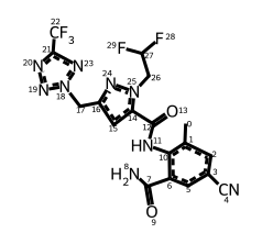 Cc1cc(C#N)cc(C(N)=O)c1NC(=O)c1cc(Cn2nnc(C(F)(F)F)n2)nn1CC(F)F